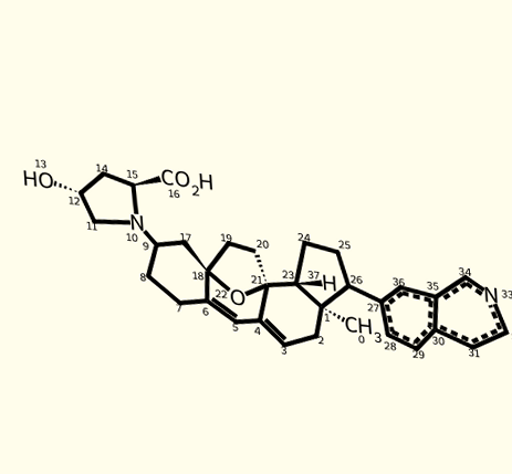 C[C@]12CC=C3C=C4CCC(N5C[C@H](O)C[C@H]5C(=O)O)C[C@]45CC[C@]3(O5)[C@@H]1CCC2c1ccc2ccncc2c1